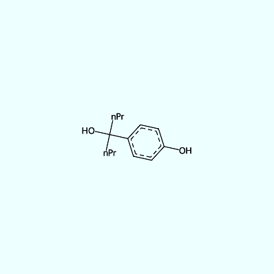 CCCC(O)(CCC)c1ccc(O)cc1